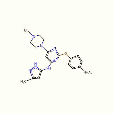 CCN1CCN(c2cc(Nc3cc(C)n[nH]3)nc(Sc3ccc(NC(C)=O)cc3)n2)CC1